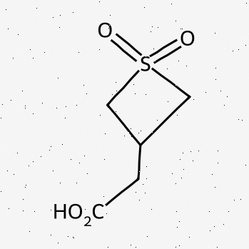 O=C(O)CC1CS(=O)(=O)C1